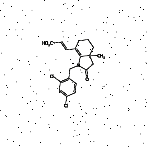 CC12CCCC(C=CC(=O)O)=C1N(Cc1ccc(Cl)cc1Cl)C(=O)C2